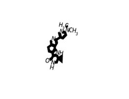 CN(C)c1ccc(-c2cc3c(cn2)CCc2c-3[nH]c3c2C(=O)NCC32CC2)cn1